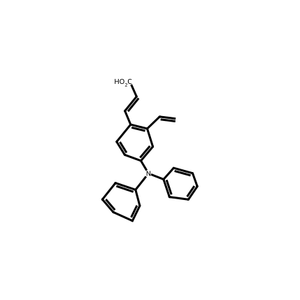 C=Cc1cc(N(c2ccccc2)c2ccccc2)ccc1/C=C/C(=O)O